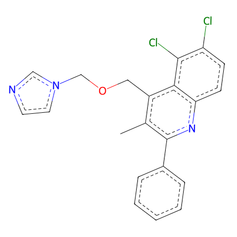 Cc1c(-c2ccccc2)nc2ccc(Cl)c(Cl)c2c1COCn1ccnc1